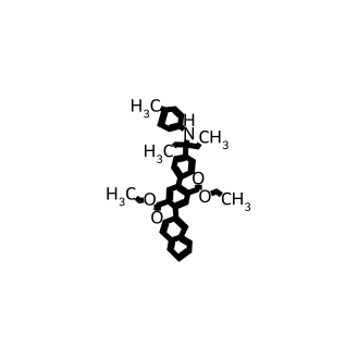 CCOC(=O)c1cc(-c2ccc3ccccc3c2)c(C(=O)OCC)cc1-c1ccc(C(CC)(CC)Nc2ccc(C)cc2)cc1